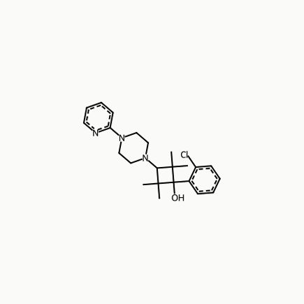 CC1(C)C(N2CCN(c3ccccn3)CC2)C(C)(C)C1(O)c1ccccc1Cl